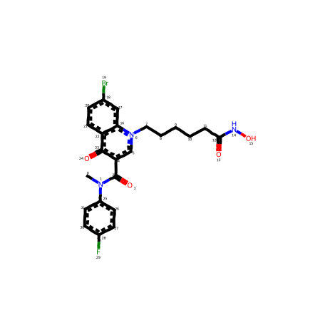 CN(C(=O)c1cn(CCCCCC(=O)NO)c2cc(Br)ccc2c1=O)c1ccc(F)cc1